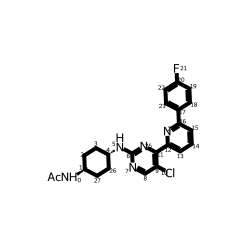 CC(=O)N[C@H]1CC[C@H](Nc2ncc(Cl)c(-c3cccc(-c4ccc(F)cc4)n3)n2)CC1